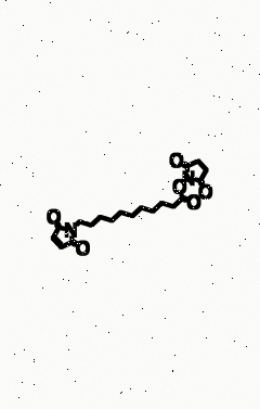 O=C(CCCCCCCCCCN1C(=O)C=CC1=O)ON1C(=O)CCC1=O